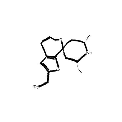 CC(C)Cc1cc2c(s1)[C@]1(C[C@@H](C)N[C@@H](C)C1)OCC2